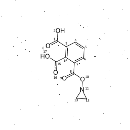 O=C(O)c1cccc(C(=O)ON2CC2)c1C(=O)O